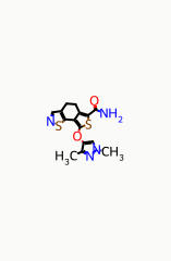 Cc1nn(C)cc1Oc1sc(C(N)=O)c2c1-c1sncc1CC2